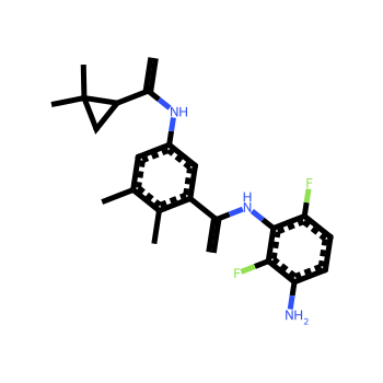 C=C(Nc1c(F)ccc(N)c1F)c1cc(NC(=C)C2CC2(C)C)cc(C)c1C